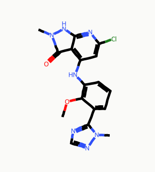 COc1c(Nc2cc(Cl)nc3[nH]n(C)c(=O)c23)cccc1-c1ncnn1C